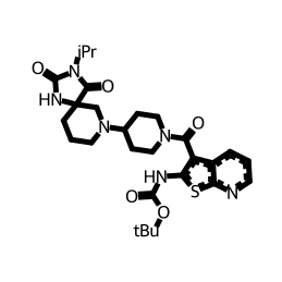 CC(C)N1C(=O)NC2(CCCN(C3CCN(C(=O)c4c(NC(=O)OC(C)(C)C)sc5ncccc45)CC3)C2)C1=O